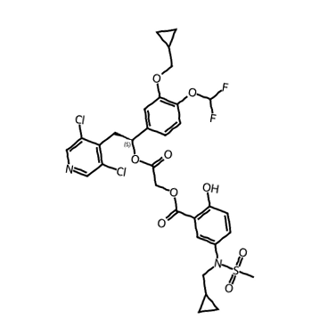 CS(=O)(=O)N(CC1CC1)c1ccc(O)c(C(=O)OCC(=O)O[C@@H](Cc2c(Cl)cncc2Cl)c2ccc(OC(F)F)c(OCC3CC3)c2)c1